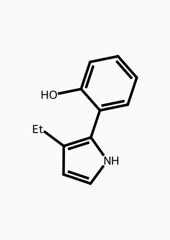 CCc1cc[nH]c1-c1ccccc1O